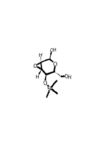 C[Si](C)(C)O[C@H]1[C@@H]2O[C@H]2[C@@H](O)O[C@@H]1CO